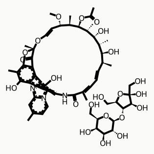 CO[C@H]1/C=C/O[C@@]2(C)Oc3c(C)c(O)c4c(O)c(c5c(nc6cc(C)ccn65)c4c3C2=O)NC(=O)/C(C)=C\C=C\[C@H](C)[C@H](O)[C@@H](C)[C@@H](O)[C@@H](C)[C@H](OC(C)=O)[C@@H]1C.OC[C@H]1O[C@@H](O[C@@H]2[C@@H](CO)O[C@](O)(CO)[C@H]2O)[C@H](O)[C@@H](O)[C@H]1O